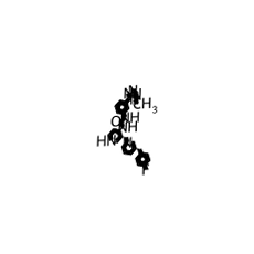 Cn1nnnc1-c1cccc(NC(=O)N[C@@H]2CCNC[C@H]2CN2CCC[C@@H](Cc3ccc(F)cc3)C2)c1